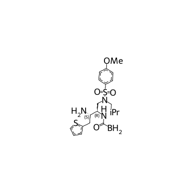 BC(=O)N[C@H](CN(CC(C)C)S(=O)(=O)c1ccc(OC)cc1)[C@@H](N)Cc1cccs1